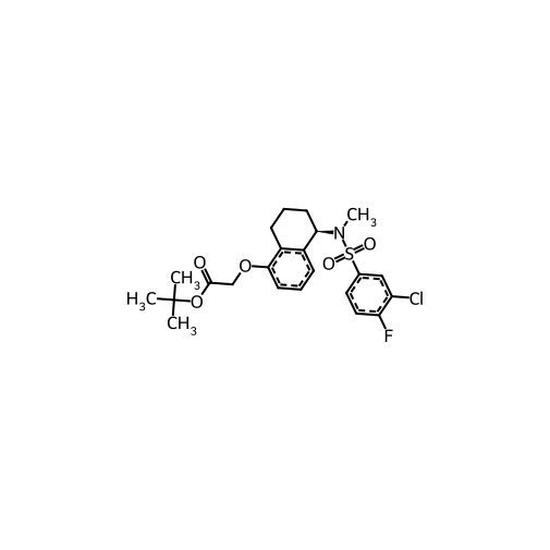 CN([C@@H]1CCCc2c(OCC(=O)OC(C)(C)C)cccc21)S(=O)(=O)c1ccc(F)c(Cl)c1